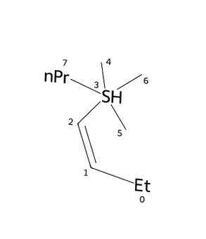 CC/C=C\[SH](C)(C)(C)CCC